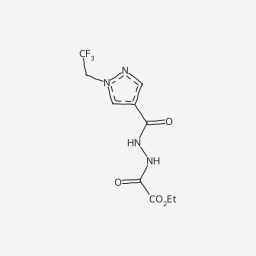 CCOC(=O)C(=O)NNC(=O)c1cnn(CC(F)(F)F)c1